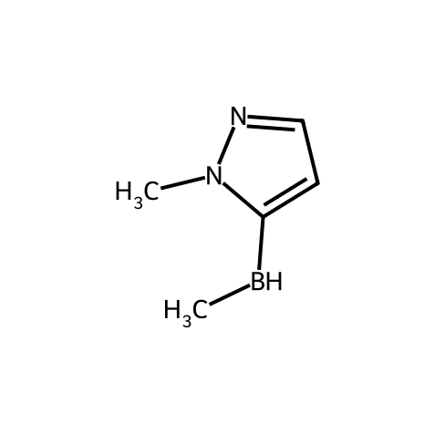 CBc1ccnn1C